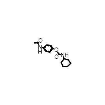 CC(=O)Nc1ccc(OC(=O)NC2CCCCC2)cc1